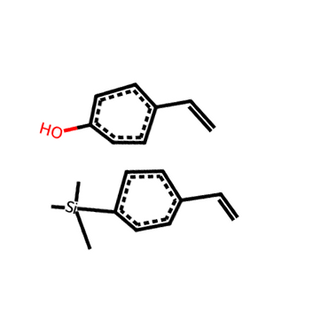 C=Cc1ccc(O)cc1.C=Cc1ccc([Si](C)(C)C)cc1